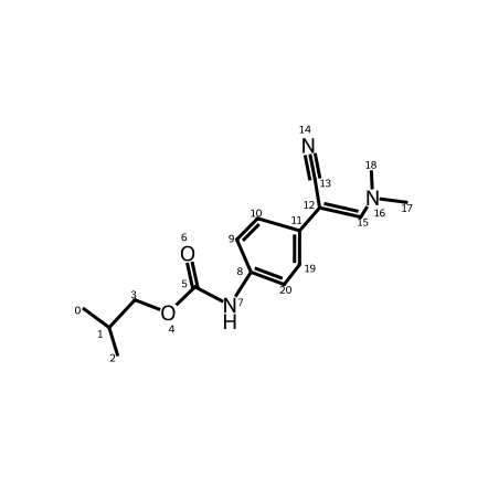 CC(C)COC(=O)Nc1ccc(C(C#N)=CN(C)C)cc1